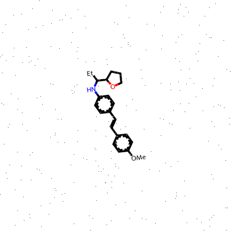 CCC(Nc1ccc(C=Cc2ccc(OC)cc2)cc1)C1CCCO1